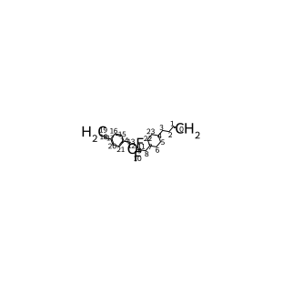 C=CCCC1CCC(CC(F)(F)OCc2ccc(C=C)cc2)CC1